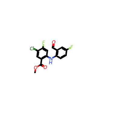 COC(=O)c1cc(Cl)c(F)cc1Nc1ccc(F)cc1C=O